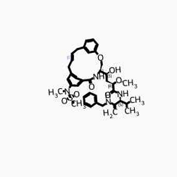 C=C(NCc1ccccc1)[C@@H](NC(=O)[C@@H](C[C@H](O)[C@@H]1COc2cccc(c2)C/C=C/Cc2cc(cc(N(C)S(C)(=O)=O)c2)C(=O)N1)OC)C(C)C